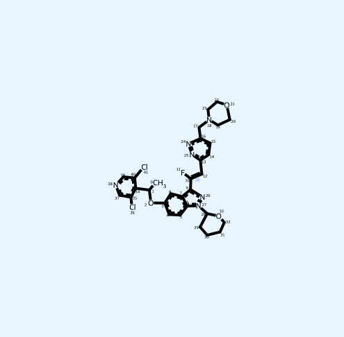 CC(Oc1ccc2c(c1)c(/C(F)=C/c1ccc(CN3CCOCC3)nn1)nn2C1CCCCO1)c1c(Cl)cncc1Cl